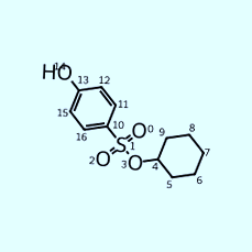 O=S(=O)(OC1CCCCC1)c1ccc(O)cc1